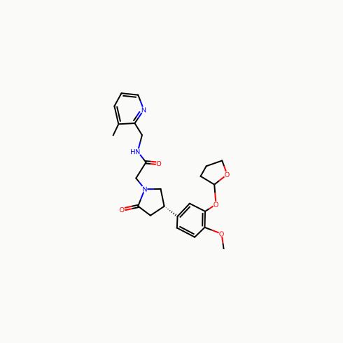 COc1ccc([C@@H]2CC(=O)N(CC(=O)NCc3ncccc3C)C2)cc1OC1CCCO1